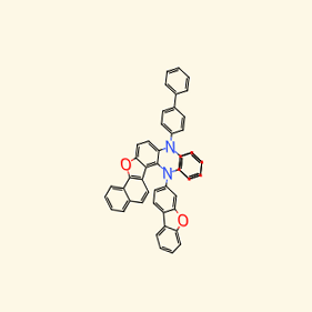 c1ccc(-c2ccc(N(c3ccccc3)c3ccc4oc5c6ccccc6ccc5c4c3N(c3ccccc3)c3ccc4c(c3)oc3ccccc34)cc2)cc1